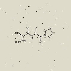 CN[C@@H](C)C(=O)NC(I)C(=O)N1CCCC1